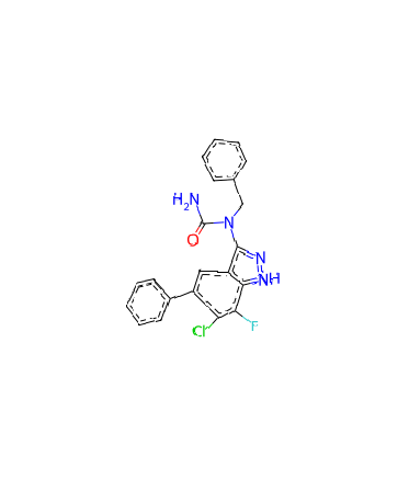 NC(=O)N(Cc1ccccc1)c1n[nH]c2c(F)c(Cl)c(-c3ccccc3)cc12